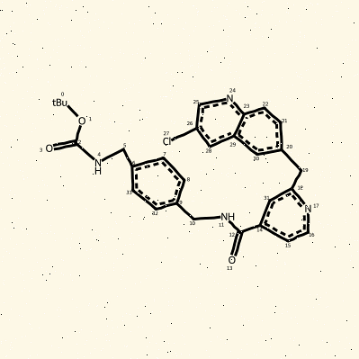 CC(C)(C)OC(=O)NCc1ccc(CNC(=O)c2ccnc(Cc3ccc4ncc(Cl)cc4c3)c2)cc1